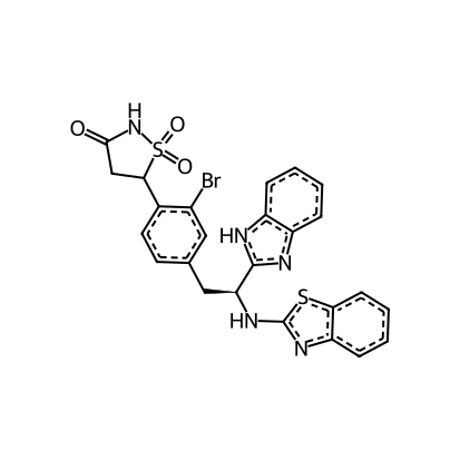 O=C1CC(c2ccc(C[C@H](Nc3nc4ccccc4s3)c3nc4ccccc4[nH]3)cc2Br)S(=O)(=O)N1